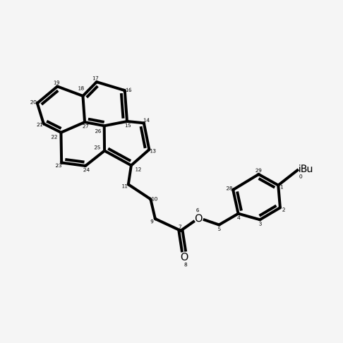 CCC(C)c1ccc(COC(=O)CCCc2ccc3ccc4cccc5ccc2c3c45)cc1